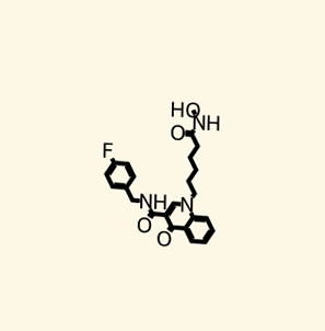 O=C(CCCCCn1cc(C(=O)NCc2ccc(F)cc2)c(=O)c2ccccc21)NO